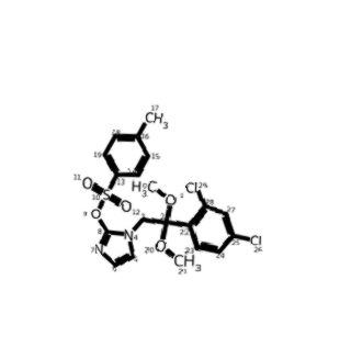 COC(Cn1ccnc1OS(=O)(=O)c1ccc(C)cc1)(OC)c1ccc(Cl)cc1Cl